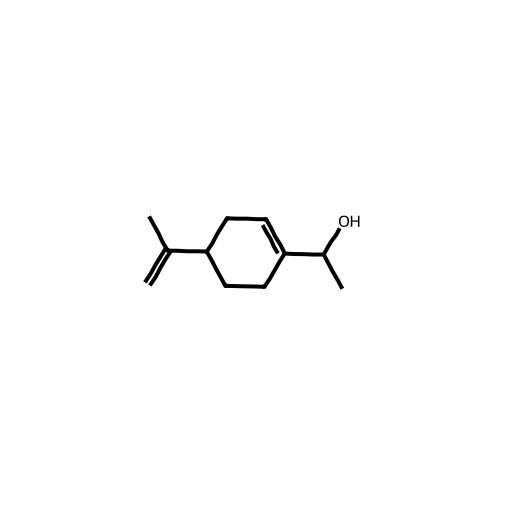 C=C(C)C1CC=C(C(C)O)CC1